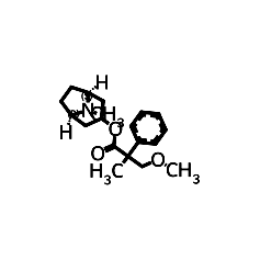 COCC(C)(C(=O)OC1C[C@H]2CC[C@@H](C1)N2C)c1ccccc1